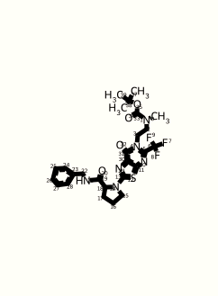 CN(CCn1c(C(F)(F)F)nc2sc(N3CCCC3C(=O)NCc3ccccc3)nc2c1=O)C(=O)OC(C)(C)C